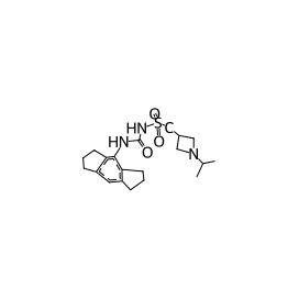 CC(C)N1CC(CS(=O)(=O)NC(=O)Nc2c3c(cc4c2CCC4)CCC3)C1